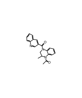 CC(=O)N1c2ccccc2N(C(=O)c2cnc3ccccc3c2)CC1C